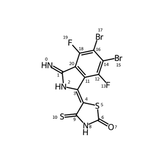 N=C1NC(=C2SC(=O)NC2=S)c2c(F)c(Br)c(Br)c(F)c21